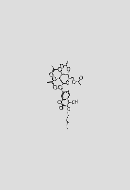 CCC=CCCOc1c(O)c2ccc(O[C@@H]3O[C@H](COC(C)=O)[C@@H](OC(C)=O)[C@H](OC(C)=O)[C@H]3OC(C)=O)cc2oc1=O